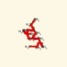 CCCCCCCCSCC(C)C(=O)OCCOC(=O)CCN(CCSCC(C)C(=O)OCCOC(=O)CCN(CCSCC(C)C(=O)OCCOC(=O)CCN1CCN(CCN(C)C)CC1)CCC(=O)OCCOC(=O)C(C)CSCCN(CCC(=O)OCCOC(=O)C(C)CSCCCCCCCC)CCC(=O)OCCOC(=O)C(C)CSCCCCCCCC)CCC(=O)OCCOC